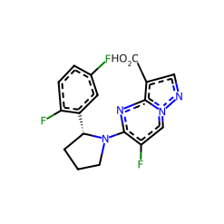 O=C(O)c1cnn2cc(F)c(N3CCC[C@@H]3c3cc(F)ccc3F)nc12